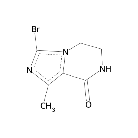 Cc1nc(Br)n2c1C(=O)NCC2